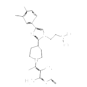 C=C/N=C(N)\C(C#N)=C(/C)N1CCC(c2nc(-c3ccc(F)c(C)c3)cn2CCN(CC)C(C)C)CC1